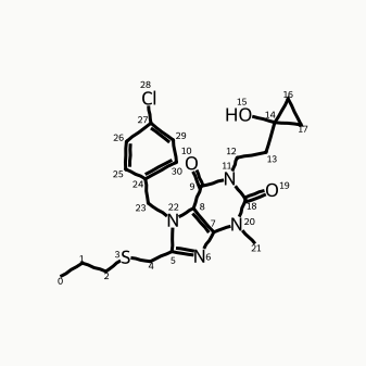 CCCSCc1nc2c(c(=O)n(CCC3(O)CC3)c(=O)n2C)n1Cc1ccc(Cl)cc1